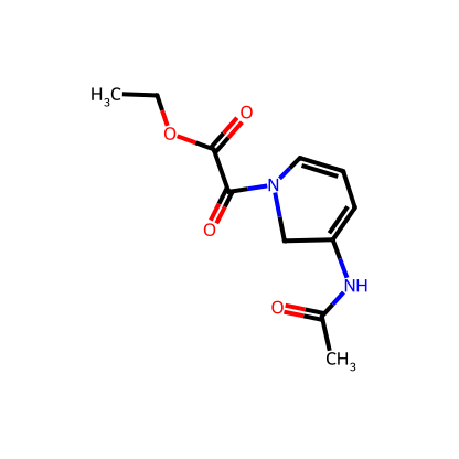 CCOC(=O)C(=O)N1C=CC=C(NC(C)=O)C1